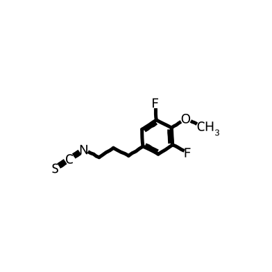 COc1c(F)cc(CCCN=C=S)cc1F